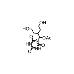 CC(=O)OC(C(CCO)CCO)n1c(=O)[nH]c(=O)[nH]c1=O